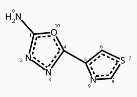 Nc1nnc(-c2cs[c]n2)o1